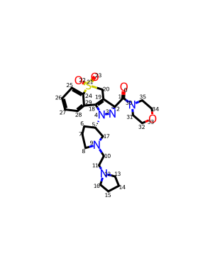 O=C(c1nn([C@H]2CCCN(CCN3CCCC3)C2)c2c1CS(=O)(=O)c1ccccc1-2)N1CCOCC1